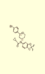 O=C(C1CC1)N(c1ccc2c(c1)OC(F)(F)O2)[C@H]1CCO[C@H](c2ccc(Br)cc2)C1